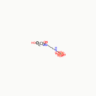 C[C@]12CCC3c4ccc(O)cc4CCC3C1CC[C@]2(O)C(=O)NCCCCCCCCNC(=O)CCCC(O)(P(=O)(O)O)P(=O)(O)O